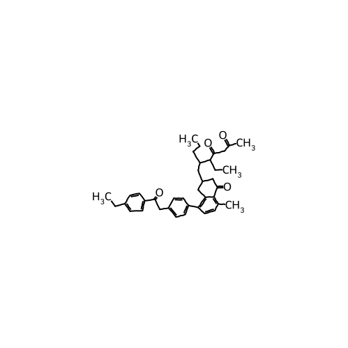 CCCC(CC1CC(=O)c2c(C)ccc(-c3ccc(CC(=O)c4ccc(CC)cc4)cc3)c2C1)C(CC)C(=O)CC(C)=O